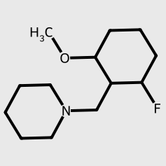 COC1CCCC(F)C1CN1CCCCC1